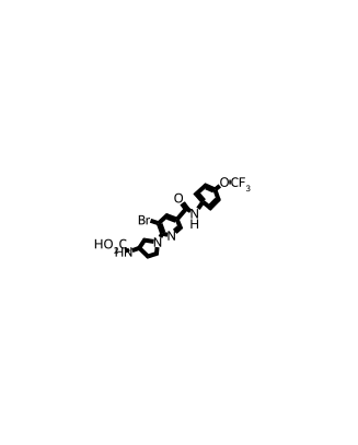 O=C(O)NC1CCN(c2ncc(C(=O)Nc3ccc(OC(F)(F)F)cc3)cc2Br)C1